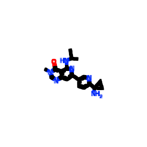 CC(C)Nc1nc(-c2ccc(C3(N)CC3)nc2)cc2ncn(C)c(=O)c12